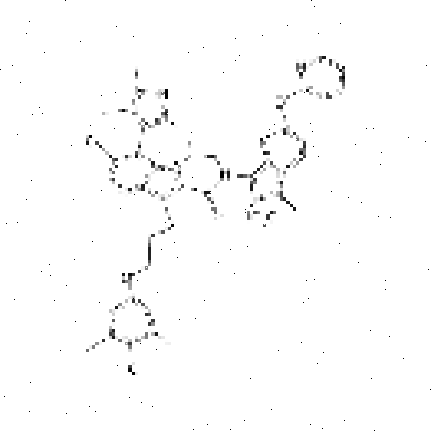 Cc1cc(OCCCc2c3n(c4c(-c5c(C)nn(C)c5C)c(Cl)ccc24)[C@H](C)CN(c2c(C(=O)O)n(C)c4ccc(Oc5ccccn5)cc24)C3=O)cc(C)c1Cl